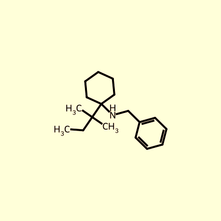 CCC(C)(C)C1(NCc2ccccc2)CCCCC1